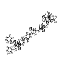 CC(C)(C)OC(=O)N1CCN(C(=O)NC[C@H]2CN(c3ccc(N4CCN(C(=O)OCc5ccccc5)N(C(=O)OCc5ccccc5)CC4)c(F)c3)C(=O)O2)CCN1C(=O)OC(C)(C)C